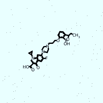 CCC1OB(O)c2c(OCCCN3CCN(c4cc5c(cc4F)c(=O)c(C(=O)O)cn5C4CC4)CC3)cccc21